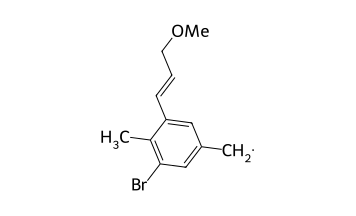 [CH2]c1cc(Br)c(C)c(C=CCOC)c1